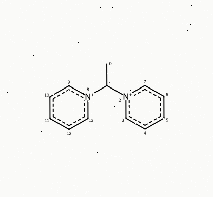 CC([n+]1ccccc1)[n+]1ccccc1